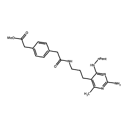 CCCCCNc1nc(N)nc(C)c1CCCNC(=O)Cc1ccc(CC(=O)OC)cc1